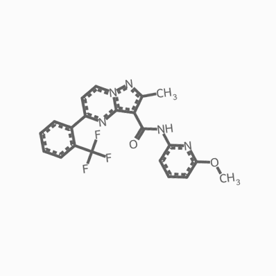 COc1cccc(NC(=O)c2c(C)nn3ccc(-c4ccccc4C(F)(F)F)nc23)n1